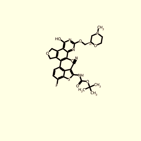 CN1CCO[C@@H](COc2nc(O)c3c4c(c(-c5ccc(F)c6sc(NC(=O)OC(C)(C)C)c(C#N)c56)c(Cl)c3n2)COC4)C1